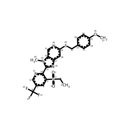 CCS(=O)(=O)c1cc(C(F)(F)F)cnc1-c1nc2cc(SCc3ccc(OC)cc3)ncc2n1C